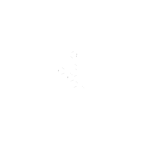 CCC(NC)C(=O)Nc1c(I)cc(-c2ccc(F)cc2)n(CC(=O)N(CC)Cc2ccc(F)cc2)c1=O